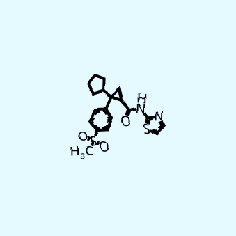 CS(=O)(=O)c1ccc(C2(C3CCCC3)CC2C(=O)Nc2nccs2)cc1